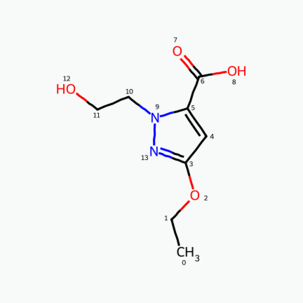 CCOc1cc(C(=O)O)n(CCO)n1